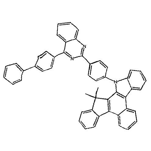 CC1(C)c2ccccc2-c2c1c1c(c3ccccc23)c2ccccc2n1-c1ccc(-c2nc(-c3ccc(-c4ccccc4)cc3)c3ccccc3n2)cc1